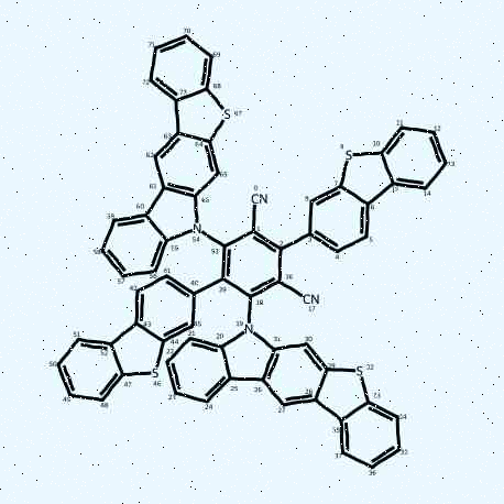 N#Cc1c(-c2ccc3c(c2)sc2ccccc23)c(C#N)c(-n2c3ccccc3c3cc4c(cc32)sc2ccccc24)c(-c2ccc3c(c2)sc2ccccc23)c1-n1c2ccccc2c2cc3c(cc21)sc1ccccc13